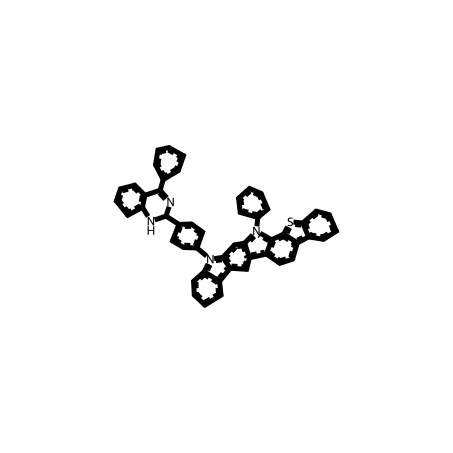 c1ccc(C2=NC(c3ccc(-n4c5ccccc5c5cc6c7ccc8c9ccccc9sc8c7n(-c7ccccc7)c6cc54)cc3)Nc3ccccc32)cc1